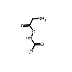 NCC(=O)ONC(N)=O